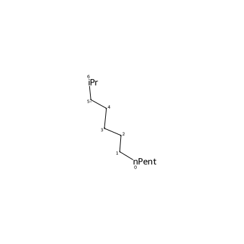 [CH2]CCCCCCCC[CH]C(C)C